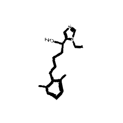 CCn1cncc1C(O)CCCCc1c(C)cccc1C